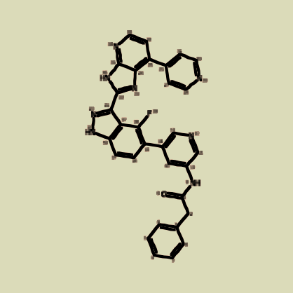 O=C(Cc1ccccc1)Nc1cncc(-c2ccc3[nH]nc(-c4nc5c(-c6ccncc6)ccnc5[nH]4)c3c2F)c1